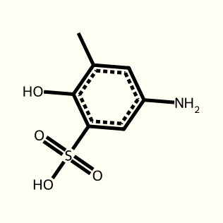 Cc1cc(N)cc(S(=O)(=O)O)c1O